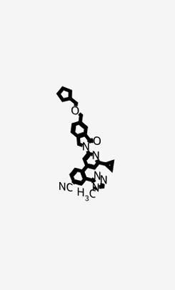 Cn1cnnc1-c1cc(C#N)ccc1-c1cc(C2CC2)nc(N2Cc3ccc(COCC4CCCC4)cc3C2=O)c1